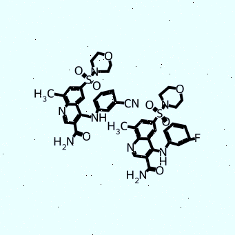 Cc1cc(S(=O)(=O)N2CCOCC2)cc2c(Nc3cccc(C#N)c3)c(C(N)=O)cnc12.Cc1cc(S(=O)(=O)N2CCOCC2)cc2c(Nc3cccc(F)c3)c(C(N)=O)cnc12